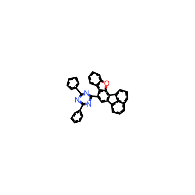 c1ccc(-c2nc(-c3ccccc3)nc(-c3cc4c(c5oc6ccccc6c35)-c3cccc5cccc-4c35)n2)cc1